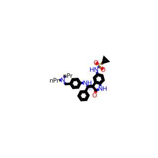 CCCN(CCC)Cc1ccc(N/C(=C2/C(=O)Nc3ccc(NS(=O)(=O)C4CC4)cc32)c2ccccc2)cc1